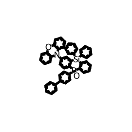 O=P1(c2ccc(-c3ccccc3)cc2)c2ccccc2[Si](c2ccccc2)(c2ccccc2)c2cc(N3c4ccccc4Oc4ccccc43)ccc21